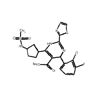 COC(=O)C1=C(C2CCC(NS(C)(=O)=O)C2)NC(c2nccs2)=NC1c1cccc(F)c1Cl